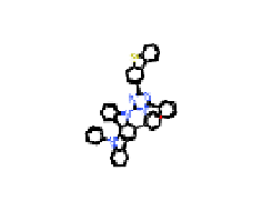 c1ccc(-c2nc(-c3ccc4sc5ccccc5c4c3)nc(-n3c4ccccc4c4c3c(-c3ccccc3)cc3c5ccccc5n(-c5ccccc5)c34)n2)cc1